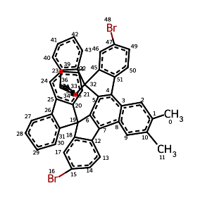 Cc1cc2c3c(c4c(c2cc1C)-c1ccc(Br)cc1C41c2ccccc2-c2ccccc21)C1(c2ccccc2-c2ccccc21)c1cc(Br)ccc1-3